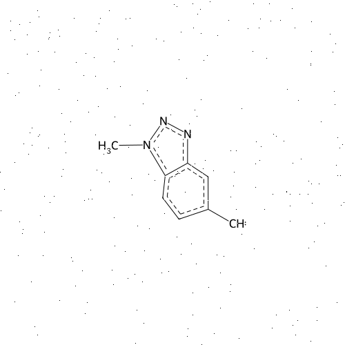 [CH]c1ccc2c(c1)nnn2C